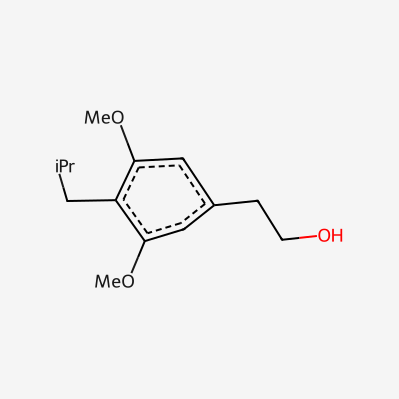 COc1cc(CCO)cc(OC)c1CC(C)C